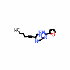 N#CCCCC#CC1=C[N+]2(N)N=C(c3ccco3)N=C2C=N1